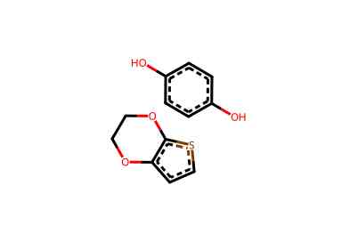 Oc1ccc(O)cc1.c1cc2c(s1)OCCO2